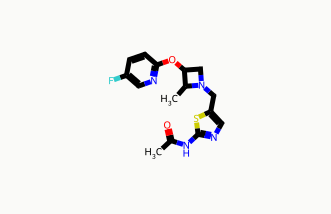 CC(=O)Nc1ncc(CN2CC(Oc3ccc(F)cn3)C2C)s1